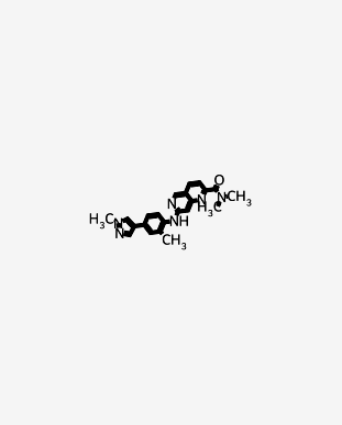 Cc1cc(-c2cnn(C)c2)ccc1Nc1cc2nc(C(=O)N(C)C)ccc2cn1